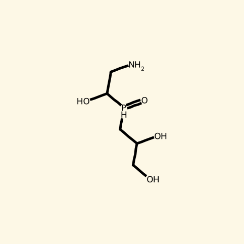 NCC(O)[PH](=O)CC(O)CO